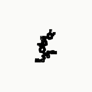 COCCN(C(=O)OC(C)(C)C)C1CCc2c(c3ccc(Nc4ccc(F)c(F)c4)nc3n2C)C1